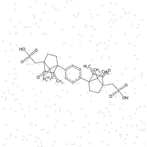 C=C1C(=O)C2(CS(=O)(=O)O)CCC1(c1ccc(C34CCC(CS(=O)(=O)O)(C(=O)C3=C)C4(C)C)cc1)C2(C)C